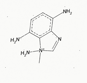 C[N+]1(N)C=Nc2c(N)ccc(N)c21